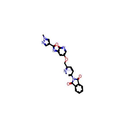 C=C(/C=C\C(COc1cnc2oc(-c3cnn(C)c3)nc2c1)=N/C)N1C(=O)c2ccccc2C1=O